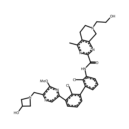 COc1nc(-c2cccc(-c3cccc(NC(=O)c4nc(C)c5c(n4)CN(CCO)CC5)c3Cl)c2Cl)cnc1CN1CC(O)C1